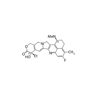 CC[C@@]1(O)C(=O)OCC2=C1C=C1c3nc4cc(F)c(C)c5c4c(c3CN1C2)[C@@H](NC)CC5